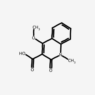 COc1c(C(=O)O)c(=O)n(C)c2ccccc12